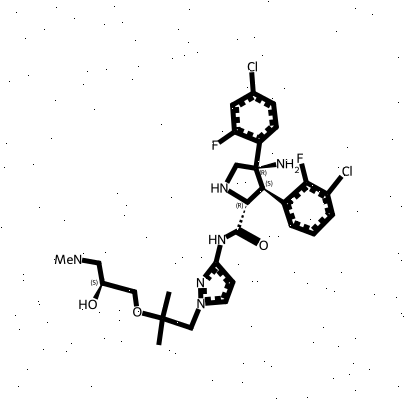 CNC[C@H](O)COC(C)(C)Cn1ccc(NC(=O)[C@@H]2NC[C@](N)(c3ccc(Cl)cc3F)[C@H]2c2cccc(Cl)c2F)n1